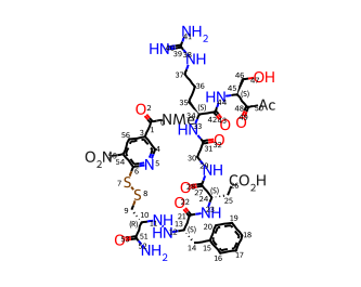 CNC(=O)c1cnc(SSC[C@H](NN[C@@H](Cc2ccccc2)C(=O)N[C@@H](CC(=O)O)C(=O)NCC(=O)N[C@@H](CCCNC(=N)N)C(=O)N[C@@H](CO)C(=O)C(C)=O)C(N)=O)c([N+](=O)[O-])c1